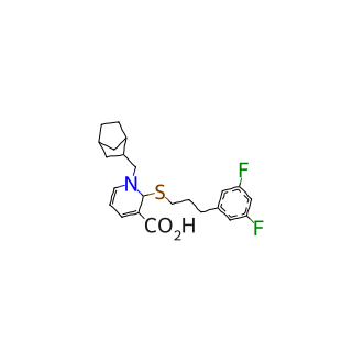 O=C(O)C1=CC=CN(CC2CC3CCC2C3)C1SCCCc1cc(F)cc(F)c1